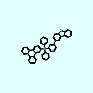 c1ccc([Si](c2ccccc2)(c2cccc(-c3ccc4oc5ccccc5c4c3)c2)c2ccc3c4ccccc4c4ccccc4c3c2)cc1